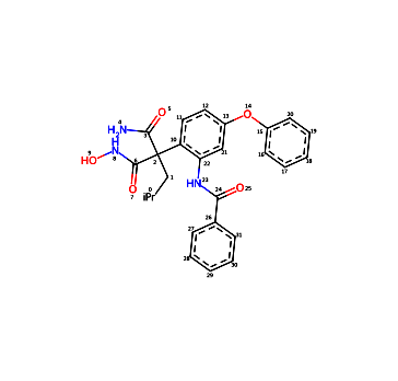 CC(C)CC(C(N)=O)(C(=O)NO)c1ccc(Oc2ccccc2)cc1NC(=O)c1ccccc1